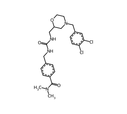 CN(C)C(=O)c1ccc(CNC(=O)NCC2CN(Cc3ccc(Cl)c(Cl)c3)CCO2)cc1